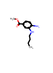 CCCCNc1cc(C(=O)OC)ccc1N